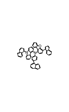 c1ccc2c(-c3ccc(N(c4ccc(-c5cccc6ccccc56)c5oc6ccccc6c45)c4cccc5c4c4ccccc4n5-c4cccc5ccccc45)cc3)cccc2c1